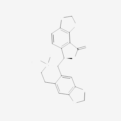 C[N+]1(C)CCc2cc3c(cc2[C@H]1[C@@H]1OC(=O)c2c1ccc1c2OCO1)OCO3.[I-]